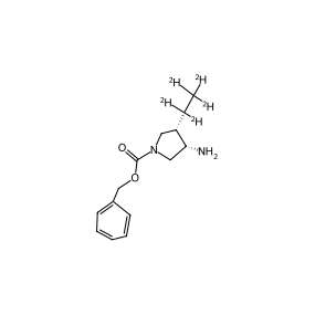 [2H]C([2H])([2H])C([2H])([2H])[C@H]1CN(C(=O)OCc2ccccc2)C[C@H]1N